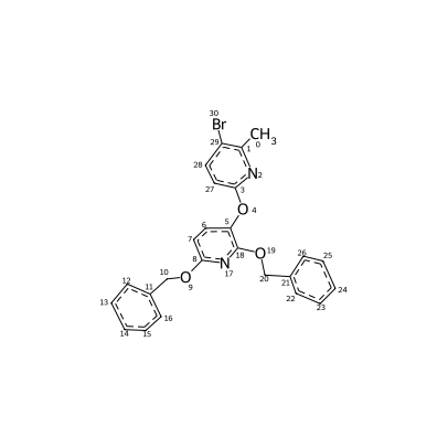 Cc1nc(Oc2ccc(OCc3ccccc3)nc2OCc2ccccc2)ccc1Br